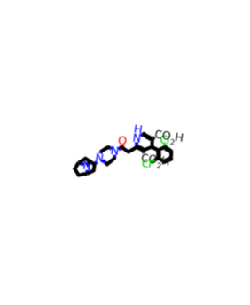 CN1C2CCC1CC(N1CCN(C(=O)CC3=C(C(=O)O)C(c4c(Cl)cccc4Cl)C(C(=O)O)=CN3)CC1)C2